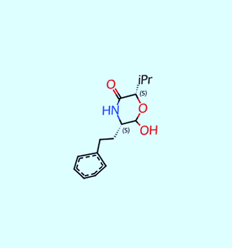 CC(C)[C@@H]1OC(O)[C@H](CCc2ccccc2)NC1=O